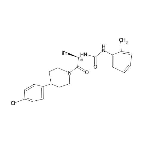 Cc1ccccc1NC(=O)N[C@@H](C(=O)N1CCC(c2ccc(Cl)cc2)CC1)C(C)C